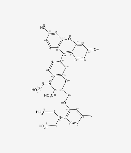 Cc1ccc(N(CC(=O)O)CC(=O)O)c(OCCOc2cc(-c3c4ccc(=O)cc-4oc4cc(O)ccc34)ccc2N(CC(=O)O)CC(=O)O)c1